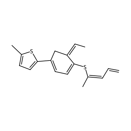 C=C/C=C(/C)SC1=CC=C(c2ccc(C)s2)CC1=CC